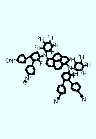 [2H]c1c([2H])c([2H])c(N(c2ccc(-c3ccc(C#N)cc3)c(-c3ccc(C#N)cc3)c2F)c2ccc3ccc4c(N(c5ccc(-c6ccc([N+]#[C-])cc6)c(-c6ccc([N+]#[C-])cc6)c5F)c5c([2H])c([2H])c([2H])c([2H])c5[2H])ccc5ccc2c3c54)c([2H])c1[2H]